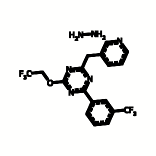 FC(F)(F)COc1nc(Cc2cccnc2)nc(-c2cccc(C(F)(F)F)c2)n1.NN